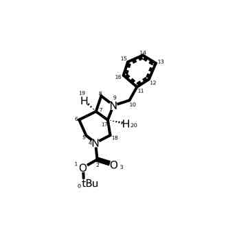 CC(C)(C)OC(=O)N1CC[C@H]2CN(Cc3ccccc3)[C@H]2C1